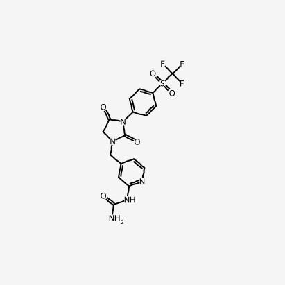 NC(=O)Nc1cc(CN2CC(=O)N(c3ccc(S(=O)(=O)C(F)(F)F)cc3)C2=O)ccn1